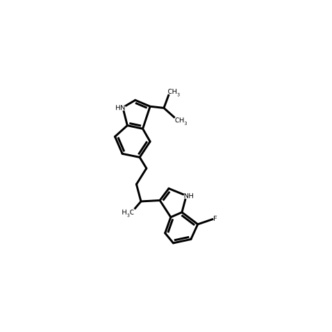 CC(C)c1c[nH]c2ccc(CCC(C)c3c[nH]c4c(F)cccc34)cc12